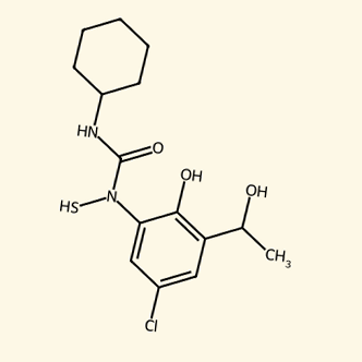 CC(O)c1cc(Cl)cc(N(S)C(=O)NC2CCCCC2)c1O